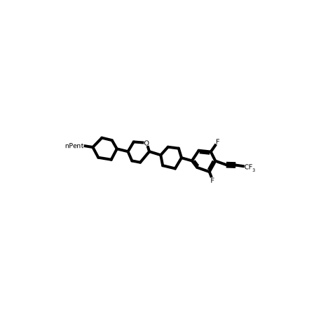 CCCCCC1CCC(C2CCC(C3CCC(c4cc(F)c(C#CC(F)(F)F)c(F)c4)CC3)OC2)CC1